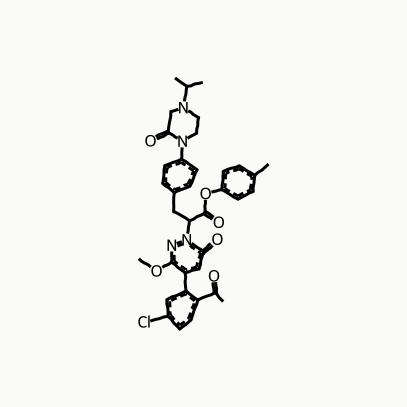 COc1nn(C(Cc2ccc(N3CCN(C(C)C)CC3=O)cc2)C(=O)Oc2ccc(C)cc2)c(=O)cc1-c1cc(Cl)ccc1C(C)=O